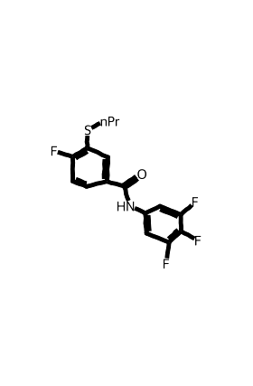 CCCSc1cc(C(=O)Nc2cc(F)c(F)c(F)c2)ccc1F